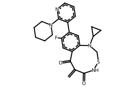 C=C1C(=O)NSCN(C2CC2)c2cc(-c3cccnc3N3CCCCC3)c(F)cc2C1=O